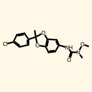 CON(C)C(=O)Nc1ccc2c(c1)OC(C)(c1ccc(Cl)cc1)O2